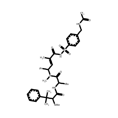 CNC(C(=O)NC(C(=O)N(C)C(C=C(C)C(=O)NS(=O)(=O)c1ccc(CNC(=O)C(F)(F)F)cc1)C(C)C)C(C)(C)C)C(C)(C)c1ccccc1